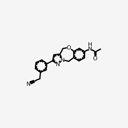 CC(=O)Nc1ccc2c(c1)OCc1cc(-c3cccc(CC#N)c3)nn1C2